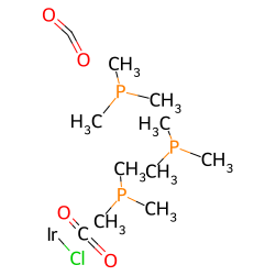 CP(C)C.CP(C)C.CP(C)C.O=C=O.O=C=O.[Cl][Ir]